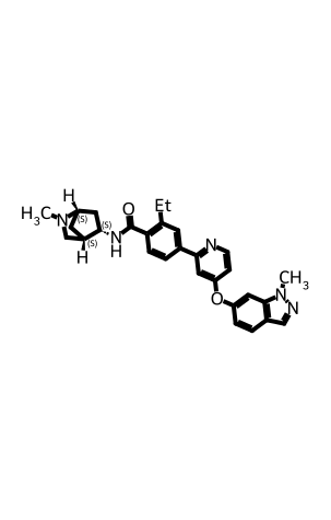 CCc1cc(-c2cc(Oc3ccc4cnn(C)c4c3)ccn2)ccc1C(=O)N[C@H]1C[C@@H]2C[C@H]1CN2C